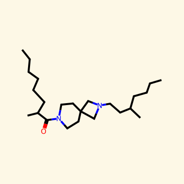 CCCCCCC(C)C(=O)N1CCC2(CC1)CN(CCC(C)CCCC)C2